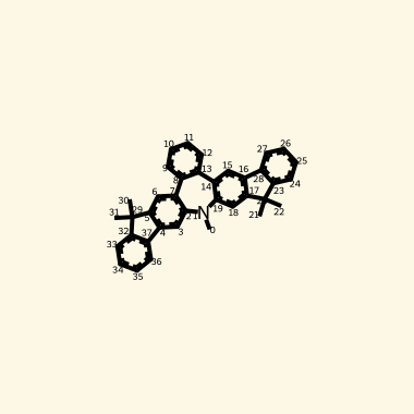 CN1c2cc3c(cc2-c2ccccc2-c2cc4c(cc21)C(C)(C)c1ccccc1-4)C(C)(C)c1ccccc1-3